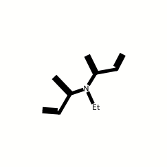 C=CC(=C)N(CC)C(=C)C=C